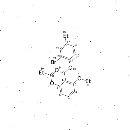 CCOc1cccc(OC(=O)CC)c1COc1ccc(CC)cc1Br